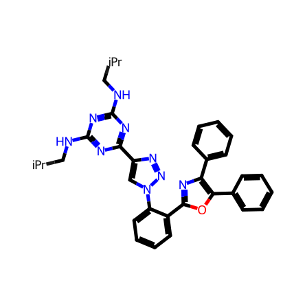 CC(C)CNc1nc(NCC(C)C)nc(-c2cn(-c3ccccc3-c3nc(-c4ccccc4)c(-c4ccccc4)o3)nn2)n1